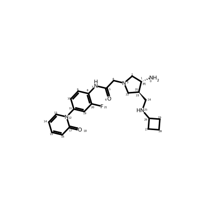 N[C@H]1CN(CC(=O)Nc2ccc(-n3ccccc3=O)cc2F)C[C@@H]1CNC1CCC1